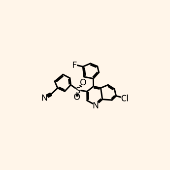 N#Cc1cccc(S(=O)(=O)c2cnc3cc(Cl)ccc3c2-c2cccc(F)c2)c1